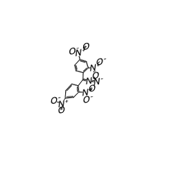 [N-]=[N+]=C(c1ccc([N+](=O)[O-])cc1[N+](=O)[O-])c1ccc([N+](=O)[O-])cc1[N+](=O)[O-]